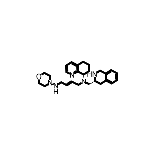 C(=C\CN(C[C@H]1Cc2ccccc2CN1)[C@H]1CCCc2cccnc21)/CNN1CCOCC1